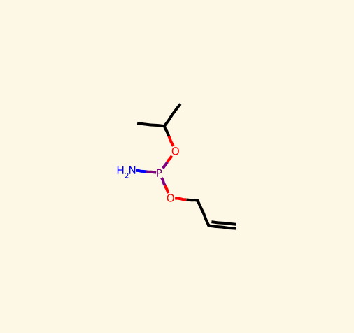 C=CCOP(N)OC(C)C